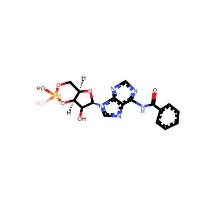 B[PH]1(O)OC[C@H]2O[C@@H](n3cnc4c(NC(=O)c5ccccc5)ncnc43)C(O)[C@H]2O1